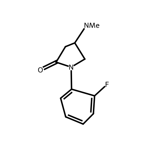 CNC1CC(=O)N(c2ccccc2F)C1